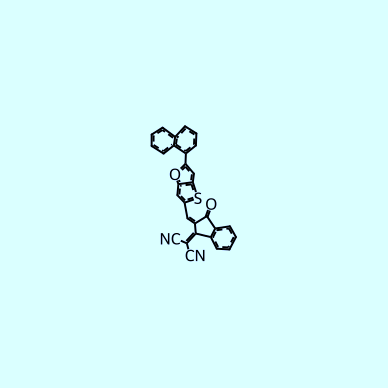 N#CC(C#N)=C1/C(=C/c2cc3oc(-c4cccc5ccccc45)cc3s2)C(=O)c2ccccc21